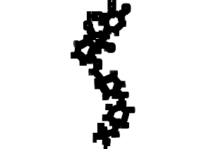 O=C1CCC(N2C(=O)c3cccc(OCc4ccc(CN5CCN(CC(F)(F)F)CC5)cc4)c3C2=O)C(O)N1